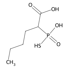 CCCCC(C(=O)O)P(=O)(O)S